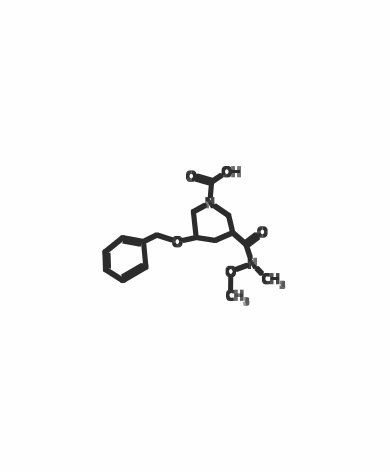 CON(C)C(=O)C1CC(OCc2ccccc2)CN(C(=O)O)C1